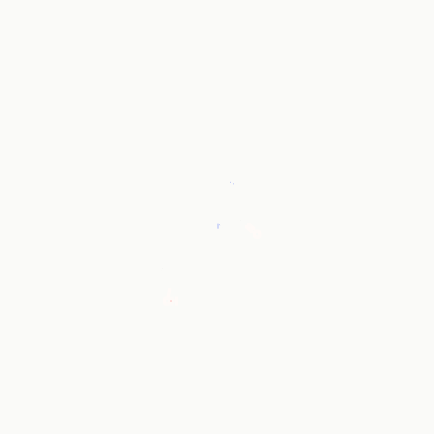 O=C(NCc1cccc(O)c1)c1cc2ccccc2[nH]1